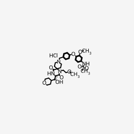 COCCN1C(=O)[C@@H]([C@H](O)C2CCOCC2)NC(=O)C12CCN(Cc1ccc(Oc3ccc(NS(C)(=O)=O)cc3OC)cc1)CC2.Cl